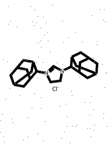 C1=[N+](C2C3CC4CC(C3)CC2C4)CCN1C1C2CC3CC(C2)CC1C3.[Cl-]